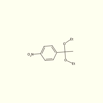 CCOC(C)(OCC)c1ccc([N+](=O)[O-])cc1